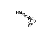 CCCc1nn(C[C@H]2CC[C@H](COCC(=O)O)CC2)c(-c2ccc(Cl)c(F)c2)c1-c1ccccc1